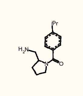 CC(C)c1ccc(C(=O)N2CCCC2CN)cc1